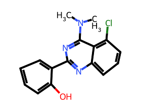 CN(C)c1nc(-c2ccccc2O)nc2cccc(Cl)c12